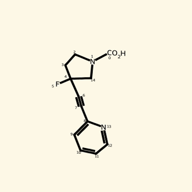 O=C(O)N1CCC(F)(C#Cc2ccccn2)C1